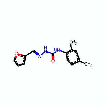 Cc1ccc(NC(=O)NN=Cc2ccco2)c(C)c1